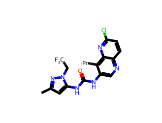 Cc1cc(NC(=O)Nc2cnc3ccc(Cl)nc3c2C(C)C)n(CC(F)(F)F)n1